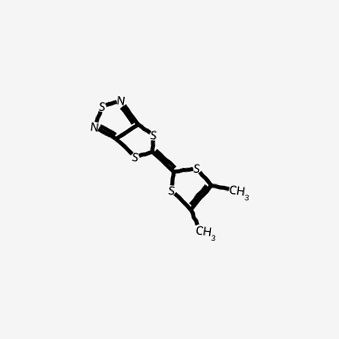 CC1=C(C)SC(=C2Sc3nsnc3S2)S1